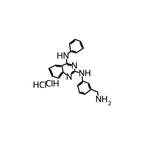 Cl.Cl.NCc1cccc(Nc2nc(Nc3ccccc3)c3ccccc3n2)c1